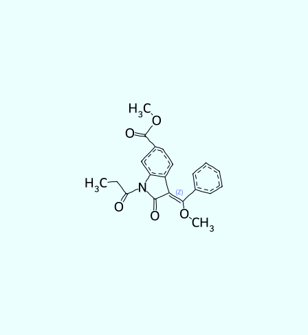 CCC(=O)N1C(=O)/C(=C(\OC)c2ccccc2)c2ccc(C(=O)OC)cc21